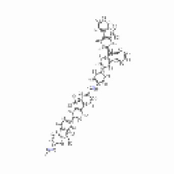 C/C=C/c1ccc2c(c1)C(C)(C)c1cc(-c3ccc4c(c3)C(C)(C)c3cc(/C=C/c5ccc(-c6ccc7c(c6)c6ccccc6n7-c6ccc7c(c6)C(C)(C)c6ccccc6-7)cc5)ccc3-4)ccc1-2